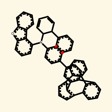 C1=CC(c2ccccc2)C(N(c2ccc(-c3ccc4c(c3)-c3c5cccc3-c3cccc-4c3-c3ccccc3-5)cc2)c2cccc3oc4ccccc4c23)C=C1